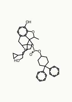 CC1Oc2c(O)ccc3c2C12CCN(CC1CC1)C(C3)C2(CCCO)OS(=O)OC1CCC(c2ccccc2)(c2ccccc2)CC1